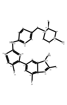 CCN1CCN(Cc2ccc(Nc3ncc(F)c(-c4cc(F)c5nc(C)n(C(C)C)c5c4)n3)nc2)[C@@H](C)C1